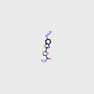 [N-]=[N+]=Nc1ccc2nc(C3=NC(C(N)=O)CS3)sc2c1